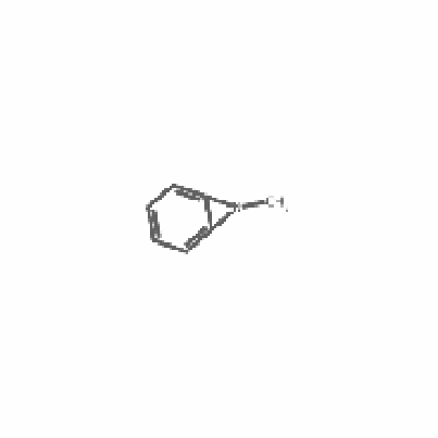 CN1c2ccccc21